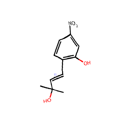 CC(C)(O)/C=C/c1ccc([N+](=O)[O-])cc1O